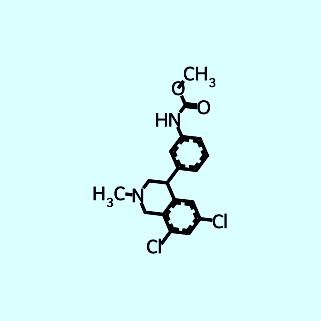 COC(=O)Nc1cccc(C2CN(C)Cc3c(Cl)cc(Cl)cc32)c1